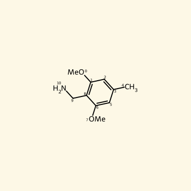 COc1cc(C)cc(OC)c1CN